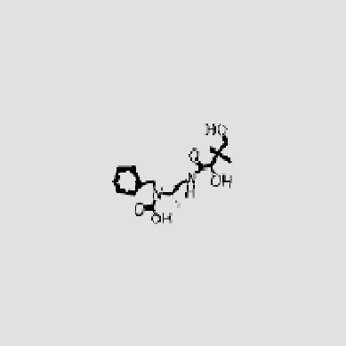 C[C@@H](CNC(=O)[C@H](O)C(C)(C)CO)N(Cc1ccccc1)C(=O)O